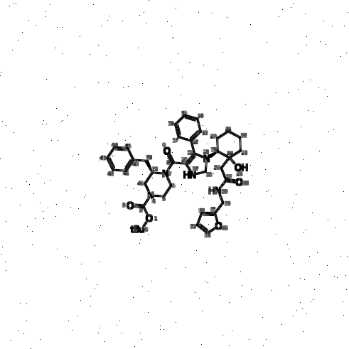 CC(C)(C)OC(=O)N1CCN(C(=O)C2=C(c3ccccc3)N([C@H]3CCCCC3(O)CC(=O)NCc3ccco3)CN2)[C@H](Cc2ccccc2)C1